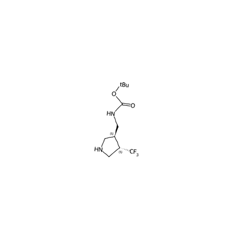 CC(C)(C)OC(=O)NC[C@@H]1CNC[C@H]1C(F)(F)F